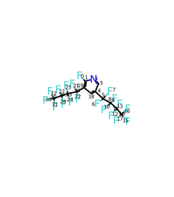 Fc1ncc(C(F)(F)C(F)(F)C(F)(F)C(F)(F)F)cc1C(F)(F)C(F)(F)C(F)(F)C(F)(F)F